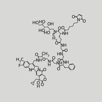 Cc1cc2c(CNC(=O)[C@@H](C)OCNC(=O)CNC(=O)[C@H](Cc3ccccc3)NC(=O)CNC(=O)CNC(=O)CC[C@H](NC(=O)CCCCCN3C(=O)C=CC3=O)C(=O)N(C)C[C@H](O)[C@@H](O)[C@H](O)[C@H](O)CO)c3c(nc2cc1F)-c1cc2c(c(=O)n1C3)COC(=O)[C@]2(O)CC1CC1